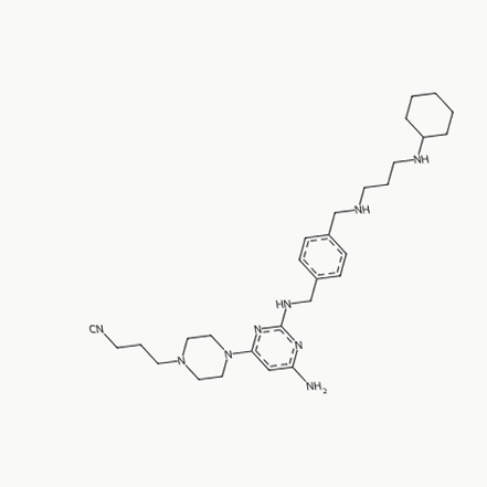 [C-]#[N+]CCCN1CCN(c2cc(N)nc(NCc3ccc(CNCCCNC4CCCCC4)cc3)n2)CC1